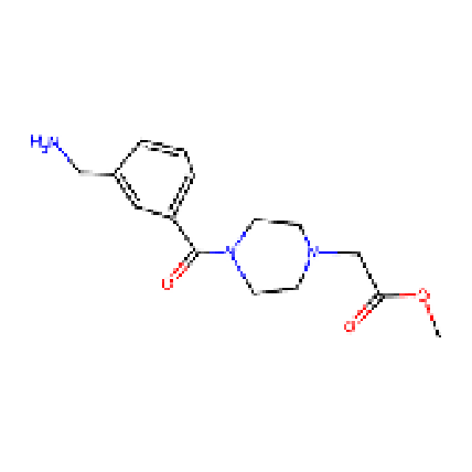 COC(=O)CN1CCN(C(=O)c2cccc(CN)c2)CC1